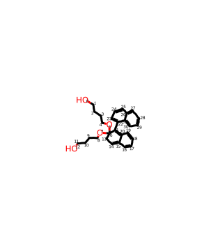 OCCCCOC1(OCCCCO)CC=c2ccccc2=C1c1cccc2ccccc12